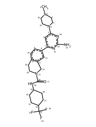 CN1CCN(c2cc(-c3ccc4c(c3)CN(C(=O)NC3CCC(C(F)(F)F)CC3)CC4)nc(N)n2)CC1